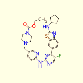 CCOC(=O)N1CCN(Cc2ccc(Nc3ncc(F)c(-c4ccc5nc(NC6CCCC6)sc5c4)n3)nc2)CC1